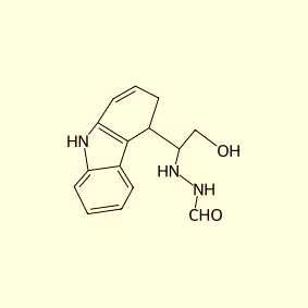 O=CNNC(CO)C1CC=Cc2[nH]c3ccccc3c21